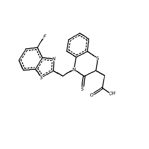 O=C(O)CC1Sc2ccccc2N(Cc2nc3c(F)cccc3s2)C1=S